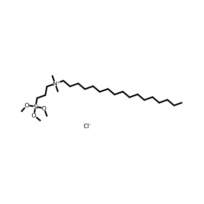 CCCCCCCCCCCCCCCCC[N+](C)(C)CCC[Si](OC)(OC)OC.[Cl-]